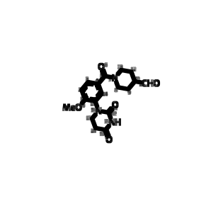 COc1ccc(C(=O)N2CCC(C=O)CC2)cc1N1CCC(=O)NC1=O